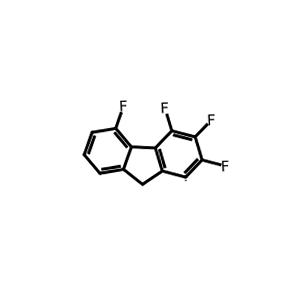 Fc1[c]c2c(c(F)c1F)-c1c(F)cccc1C2